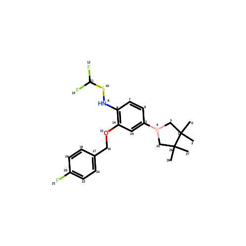 CC1(C)CB(c2ccc(NSC(F)F)c(OCc3ccc(F)cc3)c2)CC1(C)C